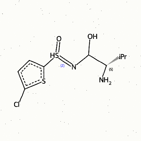 CC(C)[C@H](N)C(O)/N=[SH](=O)/c1ccc(Cl)s1